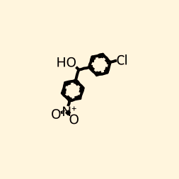 O=[N+]([O-])c1ccc(C(O)c2ccc(Cl)cc2)cc1